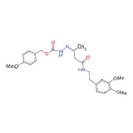 COc1ccc(COC(=O)NN=C(C)CC(=O)NCCc2ccc(OC)c(OC)c2)cc1